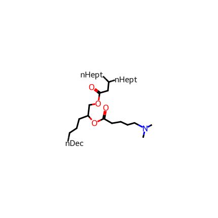 CCCCCCCCCCCCCC(COC(=O)CC(CCCCCCC)CCCCCCC)OC(=O)CCCCN(C)C